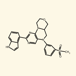 CS(=O)(=O)c1cccc(N2CC3COCCN3c3nc(-c4cccc5[nH]ccc45)ncc32)c1